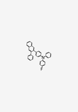 Fc1ccc(N(c2ccccc2)c2ccc(-c3cc4ccccc4cc3-c3ccccc3)cc2)cc1